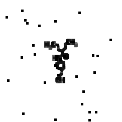 CCCC(CCC)C(=O)Nc1ccc(CCO)cc1